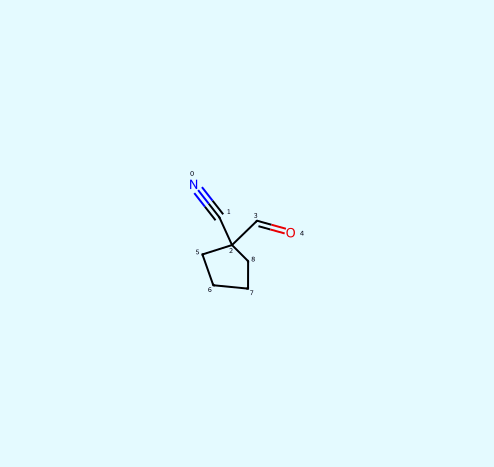 N#CC1(C=O)CCCC1